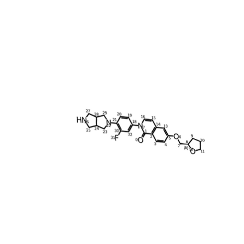 O=c1c2ccc(OC[C@H]3CCCO3)cc2ccn1-c1ccc(N2CC3CNCC3C2)c(F)c1